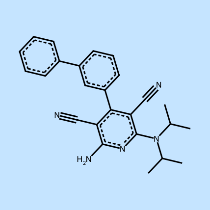 CC(C)N(c1nc(N)c(C#N)c(-c2cccc(-c3ccccc3)c2)c1C#N)C(C)C